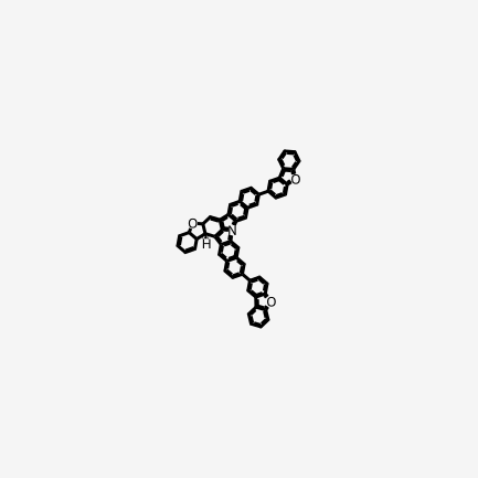 C1=CC2OC3C=c4c5cc6ccc(-c7ccc8oc9ccccc9c8c7)cc6cc5n5c4c(c4cc6ccc(-c7ccc8oc9ccccc9c8c7)cc6cc45)[C@@H]3C2C=C1